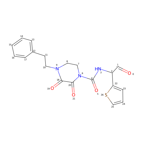 O=[C]C(NC(=O)N1CCN(CCc2ccccc2)C(=O)C1=O)c1cccs1